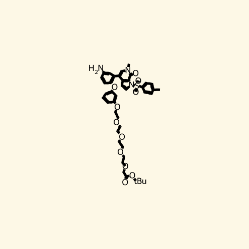 Cc1ccc(S(=O)(=O)n2ccc3c(-c4cc(N)ccc4Oc4cccc(OCCOCCOCCOCCOCC(=O)OC(C)(C)C)c4)cn(C)c(=O)c32)cc1